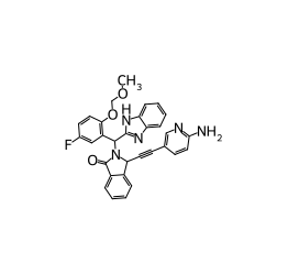 COCOc1ccc(F)cc1C(c1nc2ccccc2[nH]1)N1C(=O)c2ccccc2C1C#Cc1ccc(N)nc1